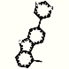 Cc1cccc2oc3cc(-c4cncnc4)ccc3c12